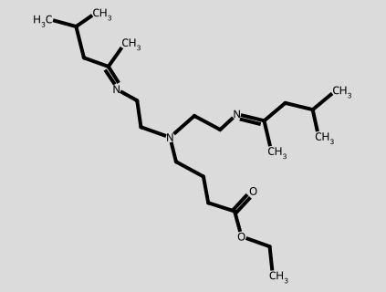 CCOC(=O)CCCN(CC/N=C(\C)CC(C)C)CC/N=C(\C)CC(C)C